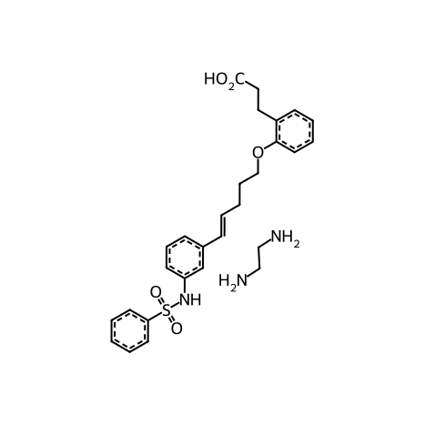 NCCN.O=C(O)CCc1ccccc1OCCC/C=C/c1cccc(NS(=O)(=O)c2ccccc2)c1